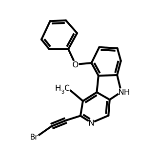 Cc1c(C#CBr)ncc2[nH]c3cccc(Oc4ccccc4)c3c12